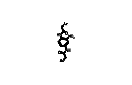 CC(=O)CC(=O)Nc1ccc(NC(=O)CC(C)=O)c([N+](=O)[O-])c1